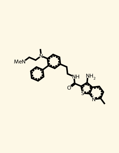 CNCCN(C)c1ccc(CCNC(=O)c2sc3nc(C)ccc3c2N)cc1-c1ccccc1